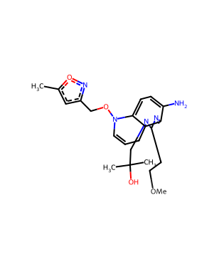 COCCC1N=C2C(N)=CC=C3N(OCc4cc(C)on4)C=CCC32N1CC(C)(C)O